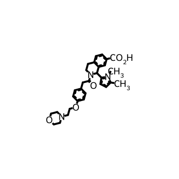 Cc1ccc(C2c3cc(C(=O)O)ccc3CCN2C(=O)Cc2ccc(OCCN3CCOCC3)cc2)n1C